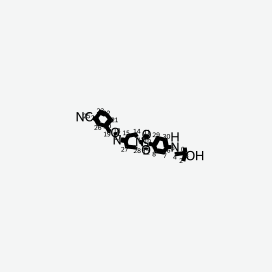 CC(C)(O)CNc1ccc(S(=O)(=O)N2CCC(=NOCc3cccc(C#N)c3)CC2)cc1